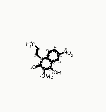 CC=Cn1c(=O)c(OC)c(O)c2cc([N+](=O)[O-])ccc21